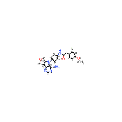 COc1ccc(CC(=O)Nc2ccc(-n3c4c(c5ncnc(N)c53)COC4)cc2)c(F)c1